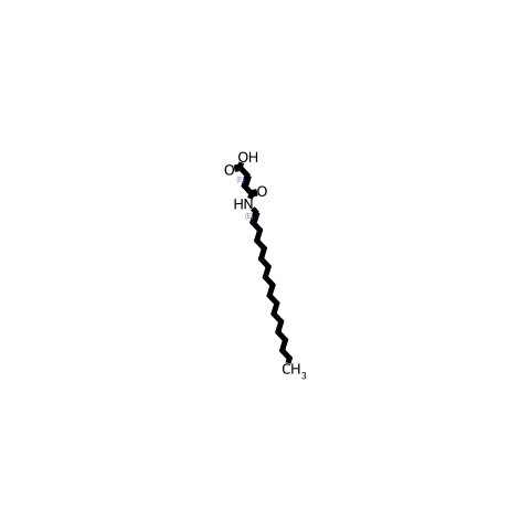 CCCCCCCCCCCCCCCC/C=C/NC(=O)/C=C/C(=O)O